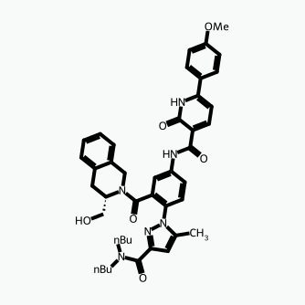 CCCCN(CCCC)C(=O)c1cc(C)n(-c2ccc(NC(=O)c3ccc(-c4ccc(OC)cc4)[nH]c3=O)cc2C(=O)N2Cc3ccccc3C[C@H]2CO)n1